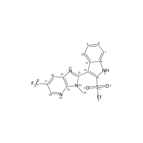 CCS(=O)(=O)c1[nH]c2ccccc2c1-c1nc2cc(C(F)(F)F)cnc2n1C